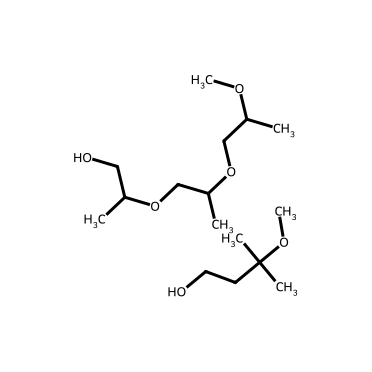 COC(C)(C)CCO.COC(C)COC(C)COC(C)CO